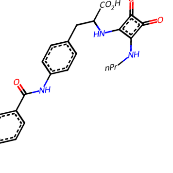 CCCNc1c(NC(Cc2ccc(NC(=O)c3ccc(F)cc3)cc2)C(=O)O)c(=O)c1=O